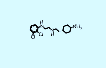 N[C@H]1CC[C@H](CCNCCNc2cccc(Cl)c2Cl)CC1